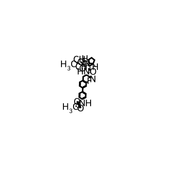 CC(C)(C)OC(=O)N1[C@@H]2CC[C@@H](C2)[C@H]1C(=O)NC(C#N)Cc1ccc(-c2ccc(NS(C)(=O)=O)cc2)cc1F